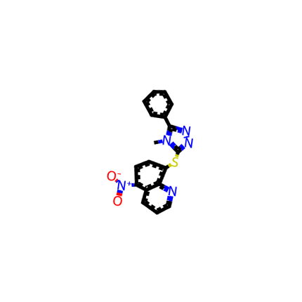 Cn1c(Sc2ccc([N+](=O)[O-])c3cccnc23)nnc1-c1ccccc1